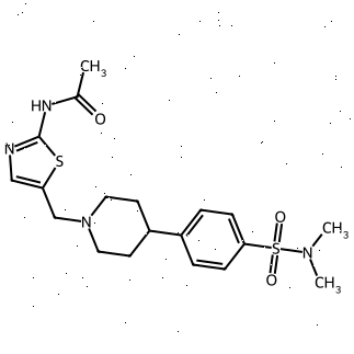 CC(=O)Nc1ncc(CN2CCC(c3ccc(S(=O)(=O)N(C)C)cc3)CC2)s1